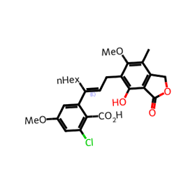 CCCCCC/C(=C\Cc1c(O)c2c(c(C)c1OC)COC2=O)c1cc(OC)cc(Cl)c1C(=O)O